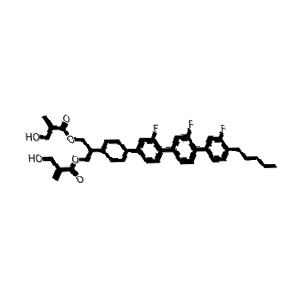 C=C(CO)C(=O)OCC(COC(=O)C(=C)CO)C1CCC(c2ccc(-c3ccc(-c4ccc(CCCCC)c(F)c4)c(F)c3)c(F)c2)CC1